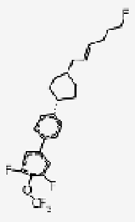 FCCC/C=C/C[C@H]1CC[C@H](c2ccc(-c3cc(F)c(OC(F)(F)F)c(F)c3)cc2)CC1